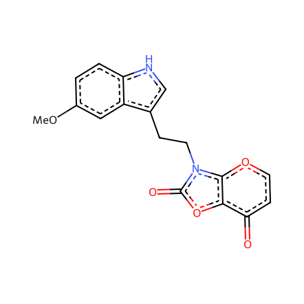 COc1ccc2[nH]cc(CCn3c(=O)oc4c(=O)ccoc43)c2c1